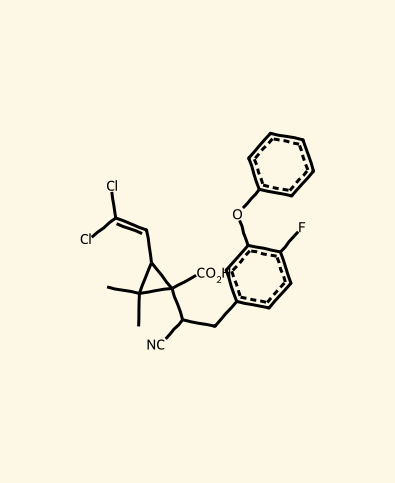 CC1(C)C(C=C(Cl)Cl)C1(C(=O)O)C(C#N)Cc1ccc(F)c(Oc2ccccc2)c1